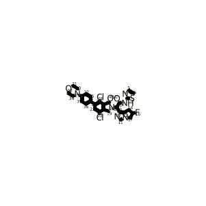 O=C(Nc1nccs1)C(c1ncn2c1CC(F)C2)N1Cc2c(Cl)cc(-c3ccc(N4CCOCC4)cc3)c(Cl)c2C1=O